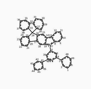 c1ccc(-c2cc(-n3c4ccccc4c4cc5c(cc43)-c3ccccc3C5(c3ccccc3)c3ccccc3)cc(-c3ccccc3)n2)cc1